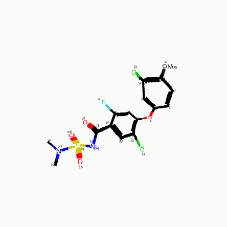 COc1ccc(Oc2cc(F)c(C(=O)NS(=O)(=O)N(C)C)cc2Cl)cc1Cl